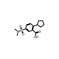 CN(C)S(=O)(=O)c1ccc(C2CCCC2)c(C(=O)O)c1